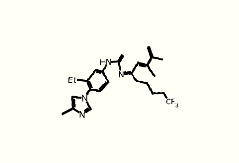 C=C(/N=C(\C=C(/C)C(=C)C)CCCCC(F)(F)F)Nc1ccc(-n2cnc(C)c2)c(CC)c1